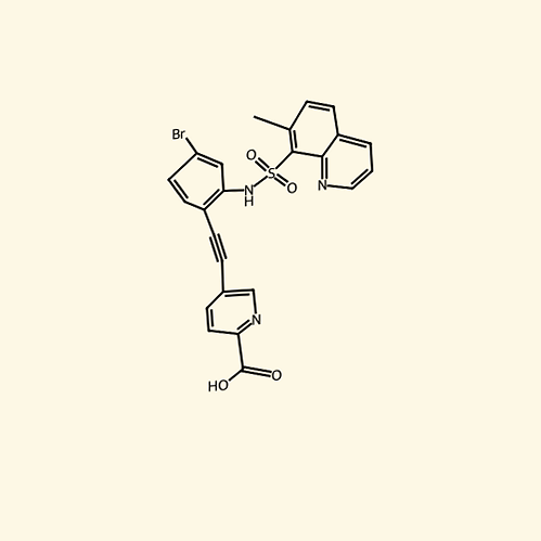 Cc1ccc2cccnc2c1S(=O)(=O)Nc1cc(Br)ccc1C#Cc1ccc(C(=O)O)nc1